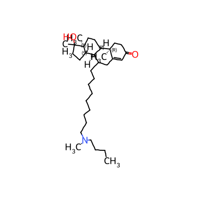 CCCCN(C)CCCCCCCCCC1CC2=CC(=O)CC[C@]2(C)[C@@H]2CC[C@@]3(C)[C@@H](CCC3(C)O)[C@H]12